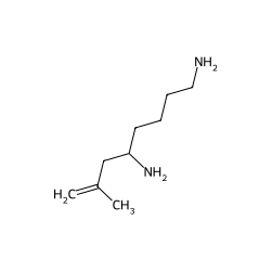 C=C(C)CC(N)CCCCN